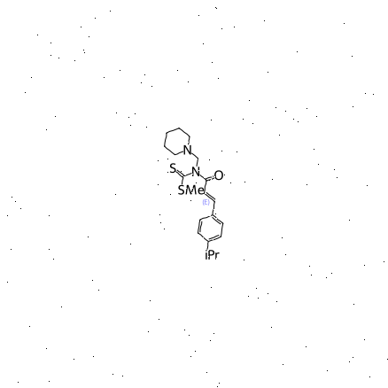 CSC(=S)N(CN1CCCCC1)C(=O)/C=C/c1ccc(C(C)C)cc1